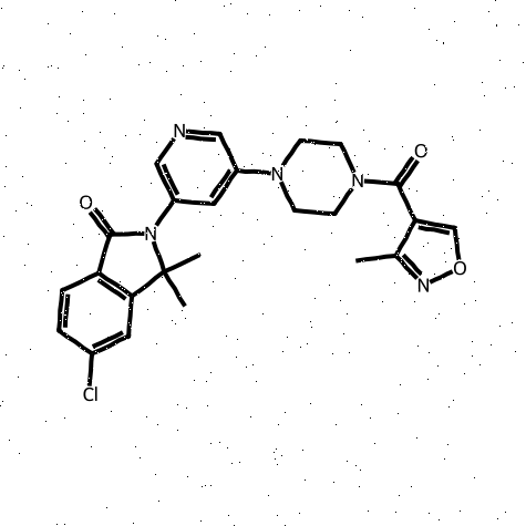 Cc1nocc1C(=O)N1CCN(c2cncc(N3C(=O)c4ccc(Cl)cc4C3(C)C)c2)CC1